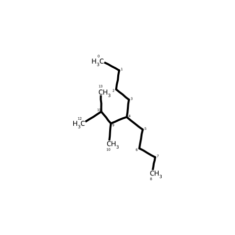 CCCCC(CCCC)C(C)C(C)C